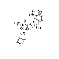 COC(=O)[C@H](CCP(=O)(O)Cc1ccc(O)c([N+](=O)[O-])c1)NC(=O)OCc1ccccc1